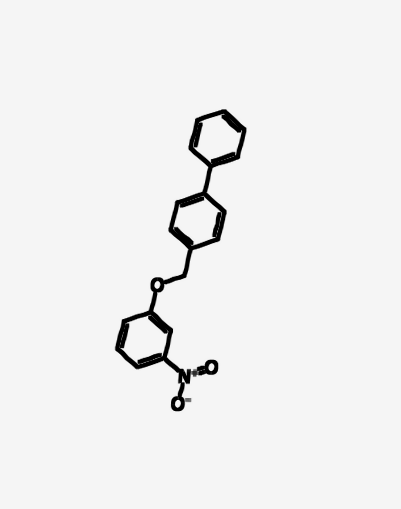 O=[N+]([O-])c1cccc(OCc2ccc(-c3ccccc3)cc2)c1